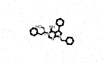 N=c1c2c(-c3ccccc3)cn(Cc3ccccc3)c2ncn1[C@H](CO)Cc1ccccc1